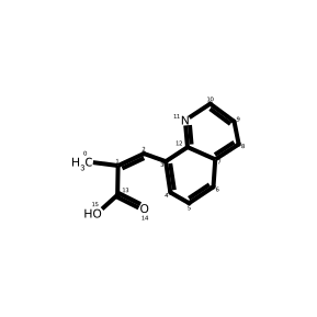 CC(=Cc1cccc2cccnc12)C(=O)O